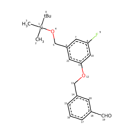 CC(C)(C)[Si](C)(C)OCc1cc(F)cc(OCc2cccc(C=O)c2)c1